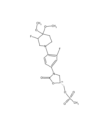 COC1(OC)CCN(c2ccc(N3C[C@H](COS(C)(=O)=O)OC3=O)cc2F)CC1F